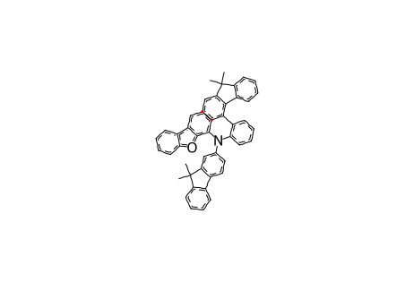 CC1(C)c2ccccc2-c2ccc(N(c3ccccc3-c3cccc4c3-c3ccccc3C4(C)C)c3cccc4c3oc3ccccc34)cc21